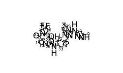 Cc1cc(Nc2nc(Sc3ccc(NC(=O)CN4CC[C@@H](C(=O)N5CC(F)(F)C[C@@H]5CO)C4)cc3)nc3cccn23)n[nH]1